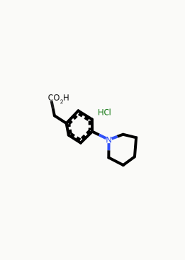 Cl.O=C(O)Cc1ccc(N2CCCCC2)cc1